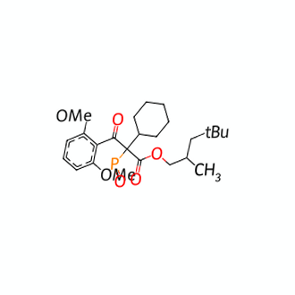 COc1cccc(OC)c1C(=O)C(P=O)(C(=O)OCC(C)CC(C)(C)C)C1CCCCC1